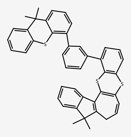 CC1(C)C2=C(C3=C(C=CC2)Sc2cccc(-c4cccc(-c5cccc6c5Sc5ccccc5C6(C)C)c4)c2S3)c2ccccc21